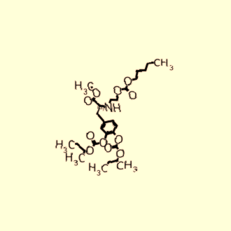 CCCCCOC(=O)OCCN[C@@H](Cc1ccc(OC(=O)OC(C)CC)c(OC(=O)OC(C)CC)c1)C(=O)OC